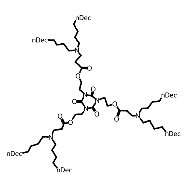 CCCCCCCCCCCCCCN(CCCCCCCCCCCCCC)CCC(=O)OCCn1c(=O)n(CCOC(=O)CCN(CCCCCCCCCCCCCC)CCCCCCCCCCCCCC)c(=O)n(CCOC(=O)CCN(CCCCCCCCCCCCCC)CCCCCCCCCCCCCC)c1=O